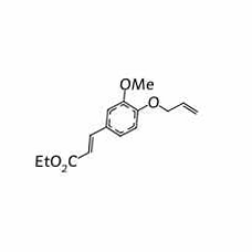 C=CCOc1ccc(/C=C/C(=O)OCC)cc1OC